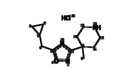 CC1(c2noc(CC3CC3)n2)CCNCC1.Cl